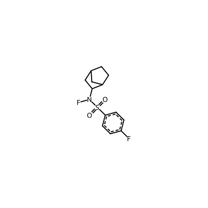 O=S(=O)(c1ccc(F)cc1)N(F)C1CC2CCC1C2